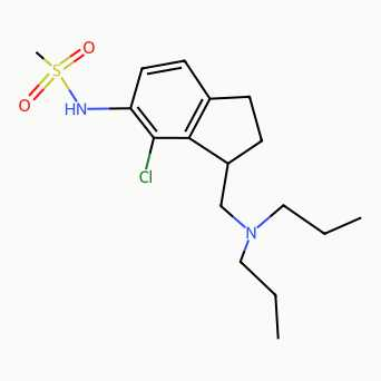 CCCN(CCC)CC1CCc2ccc(NS(C)(=O)=O)c(Cl)c21